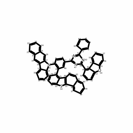 c1ccc(-c2nc(-c3ccc(-n4c5ccccc5c5cc6ccccc6cc54)c(-c4cccc5sc6c7ccccc7ccc6c45)c3)nc(-c3cccc4oc5ccccc5c34)n2)cc1